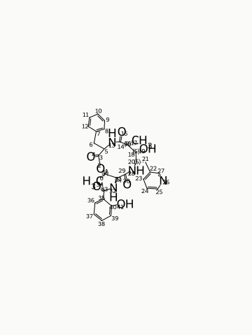 C[C@H]1OC(=O)C(Cc2ccccc2)NC(=O)[C@H](C)[C@H](O)[C@H](Cc2cccnc2)NC(=O)[C@H]1NC(=O)c1ccccc1O